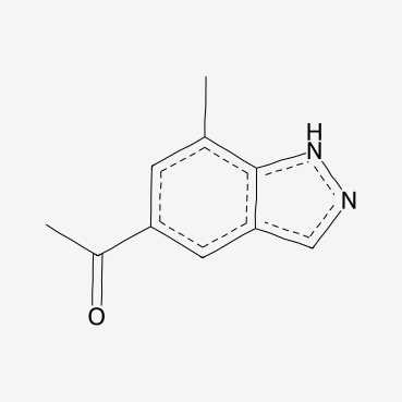 CC(=O)c1cc(C)c2[nH]ncc2c1